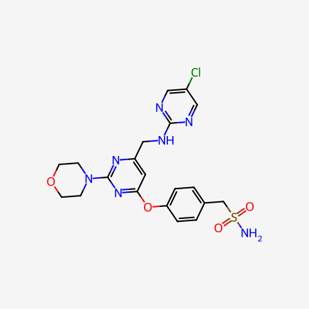 NS(=O)(=O)Cc1ccc(Oc2cc(CNc3ncc(Cl)cn3)nc(N3CCOCC3)n2)cc1